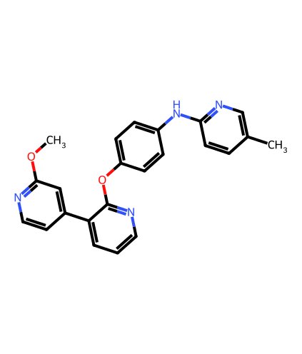 COc1cc(-c2cccnc2Oc2ccc(Nc3ccc(C)cn3)cc2)ccn1